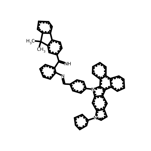 CC1(C)c2ccccc2-c2ccc(C(=N)c3ccccc3/N=C/c3ccc(-n4c5cc6c(ccn6-c6ccccc6)cc5c5c6ccccc6c6ccccc6c54)cc3)cc21